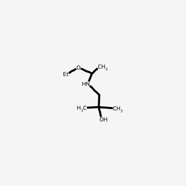 CCOC(C)NCC(C)(C)O